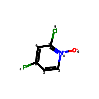 [O-][n+]1ccc(F)cc1Cl